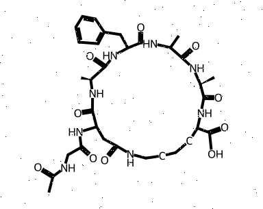 CC(=O)NCC(=O)NC1CC(=O)NCCCCC(C(=O)O)NC(=O)[C@H](C)NC(=O)C(C)NC(=O)C(Cc2ccccc2)NC(=O)[C@H](C)NC1=O